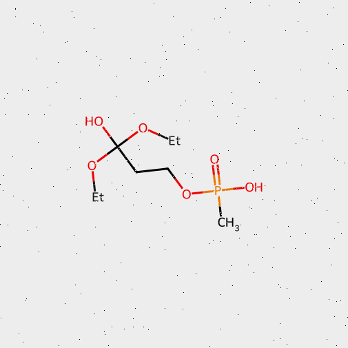 CCOC(O)(CCOP(C)(=O)O)OCC